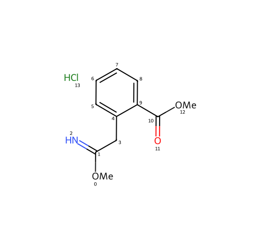 COC(=N)Cc1ccccc1C(=O)OC.Cl